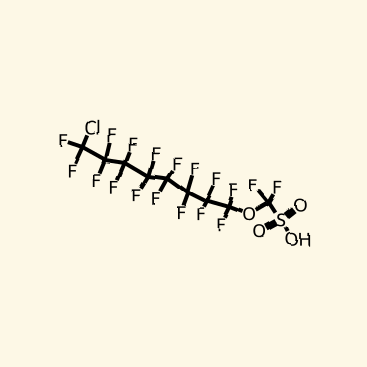 O=S(=O)(O)C(F)(F)OC(F)(F)C(F)(F)C(F)(F)C(F)(F)C(F)(F)C(F)(F)C(F)(F)C(F)(F)Cl